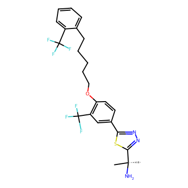 [CH2][C@@](C)(N)c1nnc(-c2ccc(OCCCCCc3ccccc3C(F)(F)F)c(C(F)(F)F)c2)s1